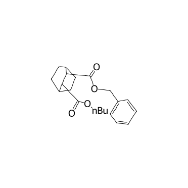 CCCCOC(=O)C1C2CCC(CC2)C1C(=O)OCc1ccccc1